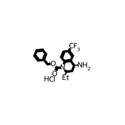 CC[C@@H]1C[C@H](N)c2cc(C(F)(F)F)ccc2N1C(=O)OCc1ccccc1.Cl